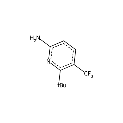 CC(C)(C)c1nc(N)ccc1C(F)(F)F